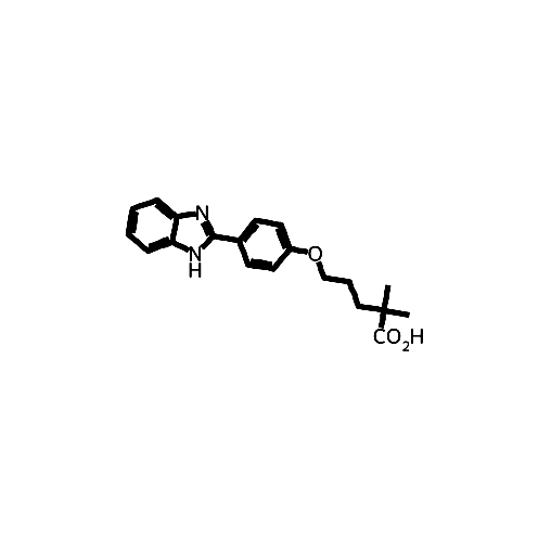 CC(C)(CCCOc1ccc(-c2nc3ccccc3[nH]2)cc1)C(=O)O